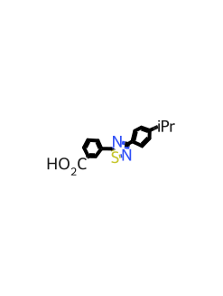 CC(C)c1ccc(-c2nsc(-c3cccc(C(=O)O)c3)n2)cc1